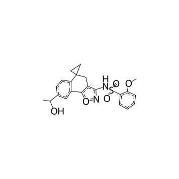 COc1ccccc1S(=O)(=O)Nc1noc2c1CC1(CC1)c1ccc(C(C)O)cc1-2